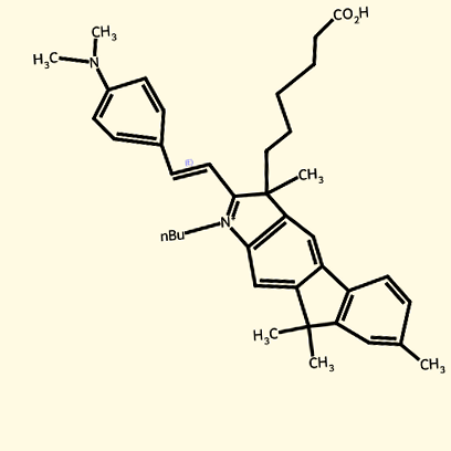 CCCC[N+]1=C(/C=C/c2ccc(N(C)C)cc2)C(C)(CCCCCC(=O)O)c2cc3c(cc21)C(C)(C)c1cc(C)ccc1-3